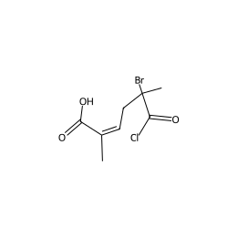 CC(=CCC(C)(Br)C(=O)Cl)C(=O)O